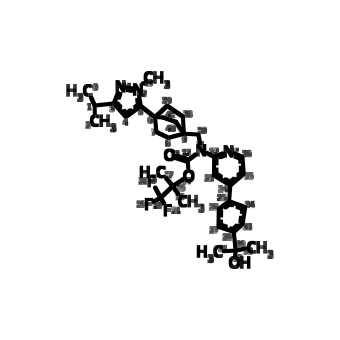 CC(C)c1cc(C23CCC(CN(C(=O)OC(C)(C)C(F)(F)F)c4cc(-c5ccc(C(C)(C)O)cc5)ccn4)(CC2)CC3)n(C)n1